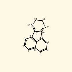 c1cc2c3c(cccc3c1)C1=NCCN=C12